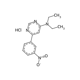 CCN(CC)c1cc(-c2cccc([N+](=O)[O-])c2)ncn1.Cl